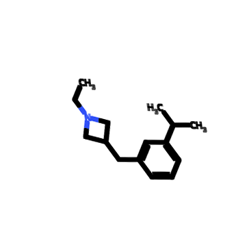 CCN1CC(Cc2cccc(C(C)C)c2)C1